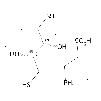 O=C(O)CCP.O[C@@H](CS)[C@@H](O)CS